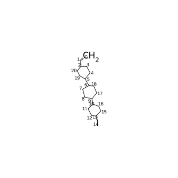 C=CC1CCC(C2CCC(C3CCC(I)CC3)CC2)CC1